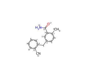 Cc1ccc(Cc2ccccc2C#N)cc1C(N)=O